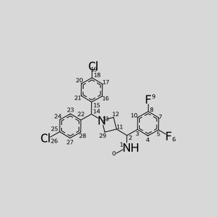 CNC(c1cc(F)cc(F)c1)C1CN(C(c2ccc(Cl)cc2)c2ccc(Cl)cc2)C1